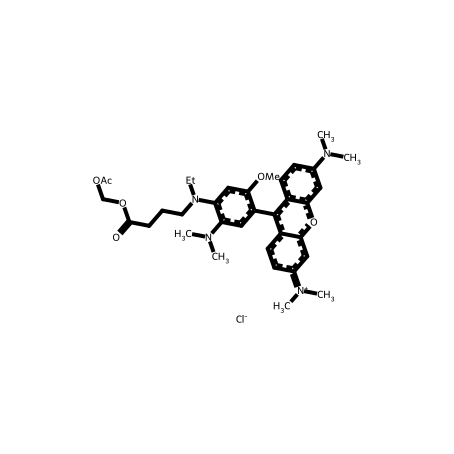 CCN(CCCC(=O)OCOC(C)=O)c1cc(OC)c(-c2c3ccc(=[N+](C)C)cc-3oc3cc(N(C)C)ccc23)cc1N(C)C.[Cl-]